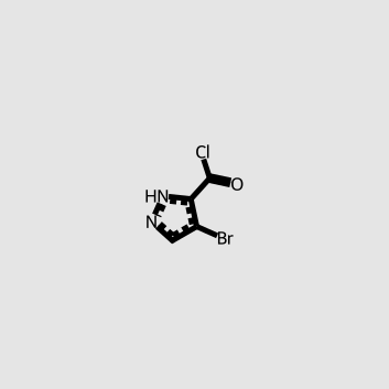 O=C(Cl)c1[nH]ncc1Br